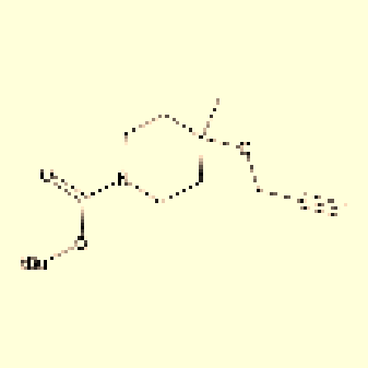 C#CCOC1(C)CCN(C(=O)OC(C)(C)C)CC1